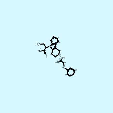 CCC(C(=O)O)n1c2c(c3ccccc31)C[C@H](NC(=O)COc1ccccc1)CC2